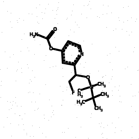 CC(C)(C)[Si](C)(C)OC(CF)c1cc(OC(N)=O)ccn1